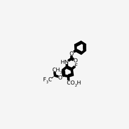 C[C@H](Oc1cc(NC(=O)Oc2ccccc2)c(F)cc1C(=O)O)C(F)(F)F